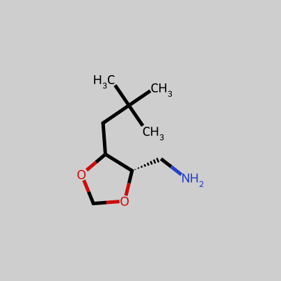 CC(C)(C)CC1OCO[C@H]1CN